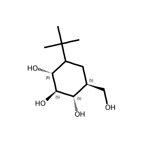 CC(C)(C)C1C[C@@H](CO)[C@H](O)[C@@H](O)[C@@H]1O